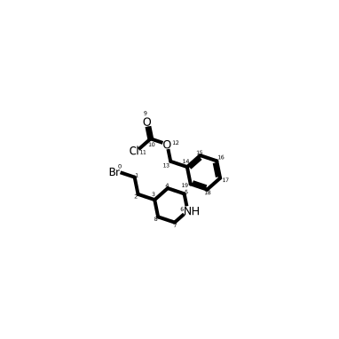 BrCCC1CCNCC1.O=C(Cl)OCc1ccccc1